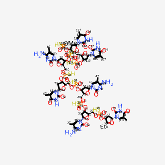 CC[C@H]1O[C@@H](n2cc(C)c(=O)[nH]c2=O)CC1OP(=O)(S)OC[C@H]1O[C@@H](n2cc(C)c(N)nc2=O)CC1OP(=O)(S)OC[C@H]1O[C@@H](n2cc(C)c(N)nc2=O)CC1OP(=O)(S)OC[C@H]1O[C@@H](n2cc(C)c(=O)[nH]c2=O)CC1OP(=O)(S)OC[C@H]1O[C@@H](n2cc(C)c(N)nc2=O)CC1OP(=O)(S)OC[C@H]1O[C@@H](n2cc(C)c(=O)[nH]c2=O)CC1OP(=O)(S)OC[C@H]1O[C@@H](n2cc(C)c(=O)[nH]c2=O)CC1OP(=O)(S)OC